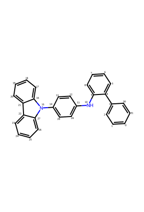 c1ccc(-c2ccccc2Nc2ccc(-n3c4ccccc4c4ccccc43)cc2)cc1